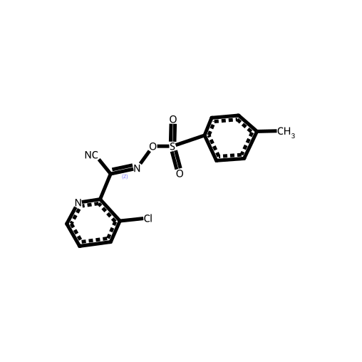 Cc1ccc(S(=O)(=O)O/N=C(\C#N)c2ncccc2Cl)cc1